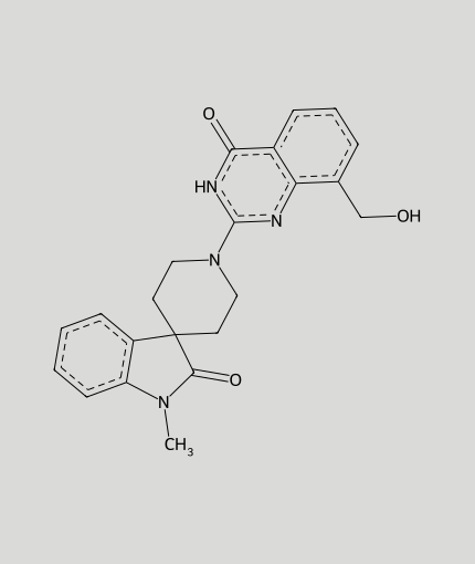 CN1C(=O)C2(CCN(c3nc4c(CO)cccc4c(=O)[nH]3)CC2)c2ccccc21